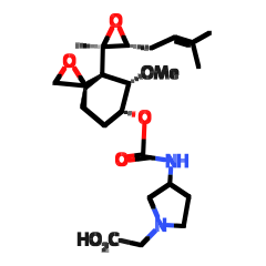 CO[C@@H]1[C@H](OC(=O)NC2CCN(CC(=O)O)C2)CC[C@]2(CO2)[C@H]1[C@@]1(C)O[C@@H]1CC=C(C)C